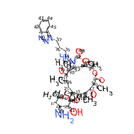 CC[C@H]1OC(=O)[C@H](C)C(=O)[C@H](C)[C@@H](O[C@@H]2O[C@H](C)CC(N)C2O)[C@](C)(OC)C[C@@H](C)C(=O)[C@H](C)[C@H]2N(NCCCn3nnc4ccccc43)C(=O)O[C@]12C